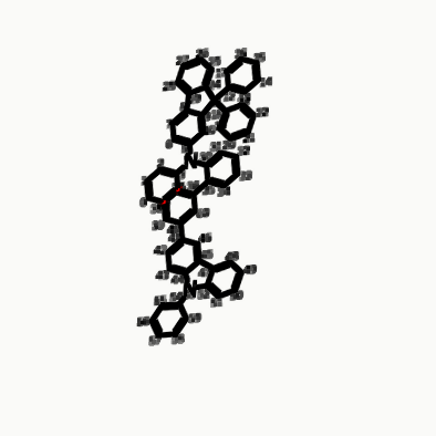 c1ccc(N(c2ccc3c(c2)C(c2ccccc2)(c2ccccc2)c2ccccc2-3)c2ccccc2-c2cccc(-c3ccc4c(c3)c3ccccc3n4-c3ccccc3)c2)cc1